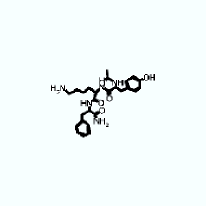 CC(=O)NC(Cc1ccc(O)cc1)C(=O)NC(CCCCN)C(=O)NC(Cc1ccccc1)C(N)=O